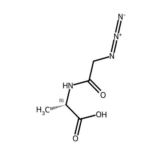 C[C@H](NC(=O)CN=[N+]=[N-])C(=O)O